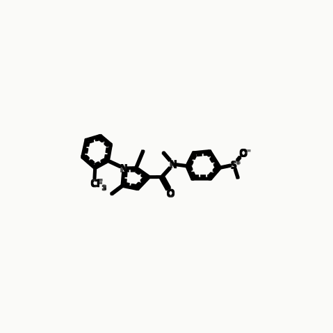 Cc1cc(C(=O)N(C)c2ccc([S+](C)[O-])cc2)c(C)n1-c1ccccc1C(F)(F)F